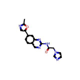 Cc1ncc(-c2ccc3cnc(NC(=O)Cn4ccnc4)nc3c2)o1